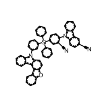 N#Cc1ccc2c(c1)c1ccccc1n2-c1ccc([Si](c2ccccc2)(c2ccccc2)c2cccc(-n3c4ccccc4c4c5c(ccc43)oc3ccccc35)c2)cc1C#N